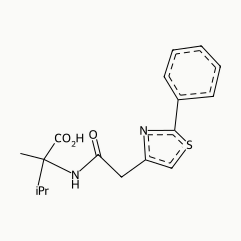 CC(C)C(C)(NC(=O)Cc1csc(-c2ccccc2)n1)C(=O)O